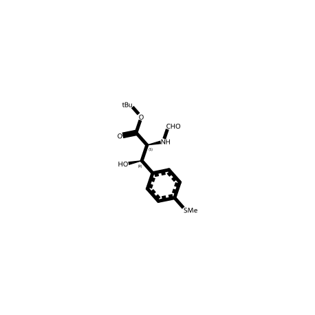 CSc1ccc([C@@H](O)[C@H](NC=O)C(=O)OC(C)(C)C)cc1